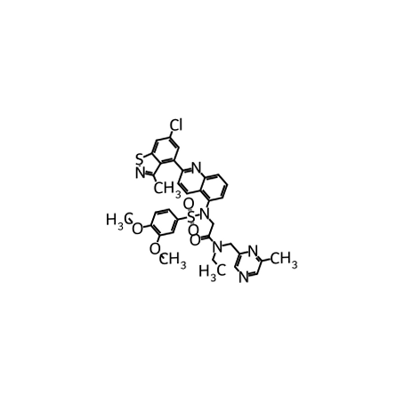 CCN(Cc1cncc(C)n1)C(=O)CN(c1cccc2nc(-c3cc(Cl)cc4snc(C)c34)ccc12)S(=O)(=O)c1ccc(OC)c(OC)c1